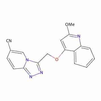 COc1cc(OCc2nnc3ccc(C#N)cn23)c2ccccc2n1